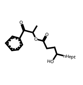 CCCCCCCC(O)CCC(=O)OC(C)C(=O)c1ccccc1